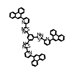 c1cc(-c2nnc(-c3cc(-c4nnc(-c5cccc(-c6cc7ccccc7c7ccccc67)n5)s4)cc(-c4nnc(-c5cccc(-c6cc7ccccc7c7ccccc67)n5)s4)c3)s2)nc(-c2cc3ccccc3c3ccccc23)c1